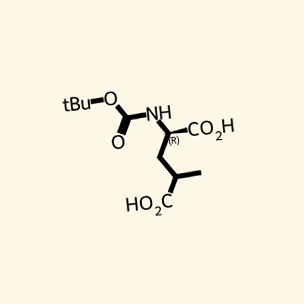 CC(C[C@@H](NC(=O)OC(C)(C)C)C(=O)O)C(=O)O